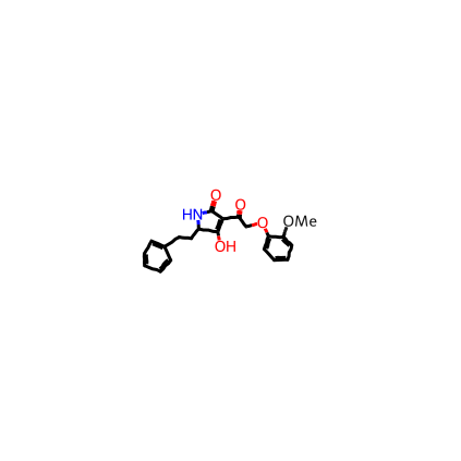 COc1ccccc1OCC(=O)C1=C(O)C(CCc2ccccc2)NC1=O